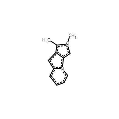 Cc1c2cc3ccccn3c2cn1C